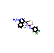 C[C@H](c1cnc(N)c2ccccc12)N(C)C(=O)Nc1ccc(F)c(Cl)c1